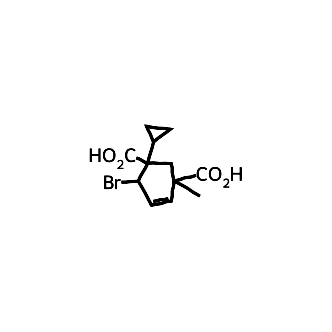 CC1(C(=O)O)C=CC(Br)C(C(=O)O)(C2CC2)C1